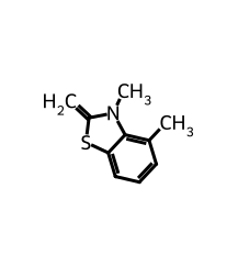 C=C1Sc2cccc(C)c2N1C